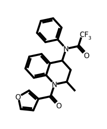 CC1CC(N(C(=O)C(F)(F)F)c2ccccc2)c2ccccc2N1C(=O)c1ccoc1